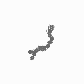 Cc1ccc(-c2ccc(-c3ccc(Oc4c(F)c(F)c(-c5c(F)c(F)c(Oc6ccc(-c7cc(C)c(-c8ccc(C)c(-c9ccc(Oc%10c(F)c(F)c(-c%11c(F)c(F)c(C)c(F)c%11F)c(F)c%10F)cc9)c8)cc7C)cc6)c(F)c5F)c(F)c4F)cc3)c(C(=O)c3ccccc3)c2)cc1